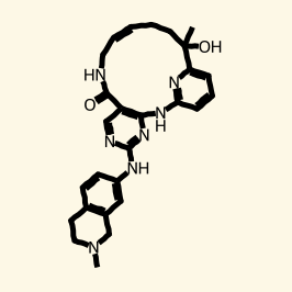 CN1CCc2ccc(Nc3ncc4c(n3)Nc3cccc(n3)C(C)(O)CC/C=C\CNC4=O)cc2C1